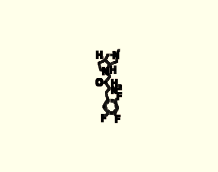 CN1C[C@@H]2CCN(CC(=O)[C@H](N)Cc3cc(F)c(F)cc3F)[C@@H]2C1